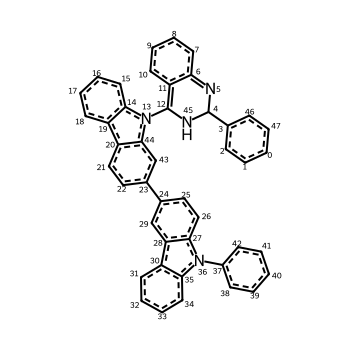 c1ccc(C2N=c3ccccc3=C(n3c4ccccc4c4ccc(-c5ccc6c(c5)c5ccccc5n6-c5ccccc5)cc43)N2)cc1